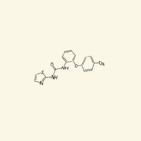 N#Cc1ccc(Oc2ccccc2NC(=O)Nc2nccs2)cc1